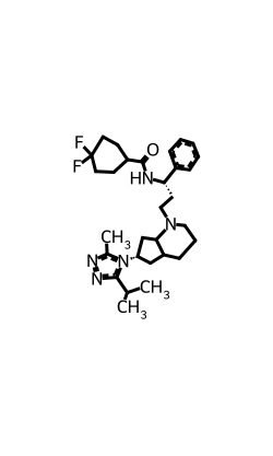 Cc1nnc(C(C)C)n1[C@H]1CC2CCCN(CC[C@H](NC(=O)C3CCC(F)(F)CC3)c3ccccc3)C2C1